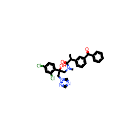 CC(C(=O)N(C)CC(O)(Cn1cncn1)c1ccc(Cl)cc1Cl)c1cccc(C(=O)c2ccccc2)c1